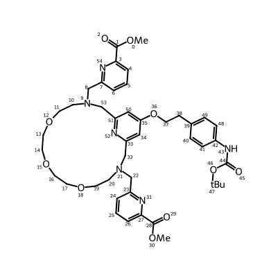 COC(=O)c1cccc(CN2CCOCCOCCOCCN(Cc3cccc(C(=O)OC)n3)Cc3cc(OCCc4ccc(NC(=O)OC(C)(C)C)cc4)cc(n3)C2)n1